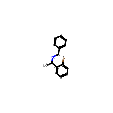 N#CC(NCc1ccccc1)c1ccccc1Br